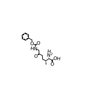 C[C@@H](CCC(=O)CNC(=O)OCc1ccccc1)[C@H](N)C(=O)O